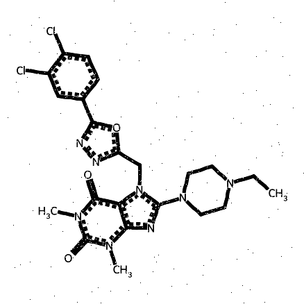 CCN1CCN(c2nc3c(c(=O)n(C)c(=O)n3C)n2Cc2nnc(-c3ccc(Cl)c(Cl)c3)o2)CC1